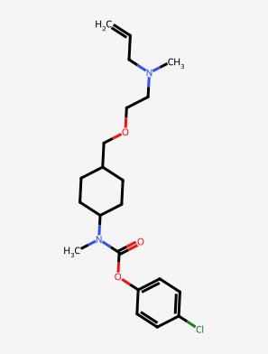 C=CCN(C)CCOCC1CCC(N(C)C(=O)Oc2ccc(Cl)cc2)CC1